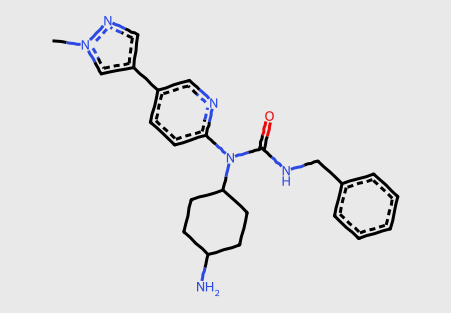 Cn1cc(-c2ccc(N(C(=O)NCc3ccccc3)C3CCC(N)CC3)nc2)cn1